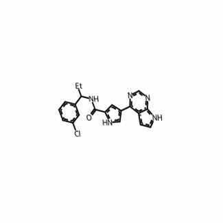 CCC(NC(=O)c1cc(-c2ncnc3[nH]ccc23)c[nH]1)c1cccc(Cl)c1